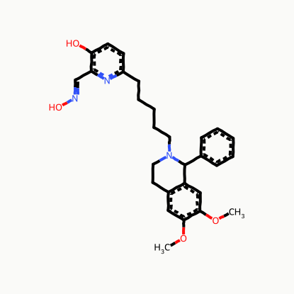 COc1cc2c(cc1OC)C(c1ccccc1)N(CCCCCc1ccc(O)c(C=NO)n1)CC2